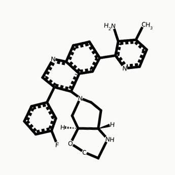 Cc1ccnc(-c2ccc3ncc(-c4cccc(F)c4)c(N4CC[C@@H]5NCCO[C@H]5C4)c3c2)c1N